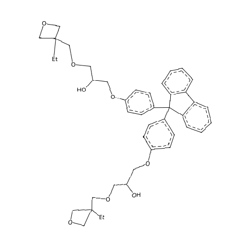 CCC1(COCC(O)COc2ccc(C3(c4ccc(OCC(O)COCC5(CC)COC5)cc4)c4ccccc4-c4ccccc43)cc2)COC1